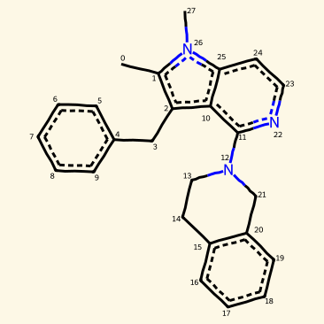 Cc1c(Cc2ccccc2)c2c(N3CCc4ccccc4C3)nccc2n1C